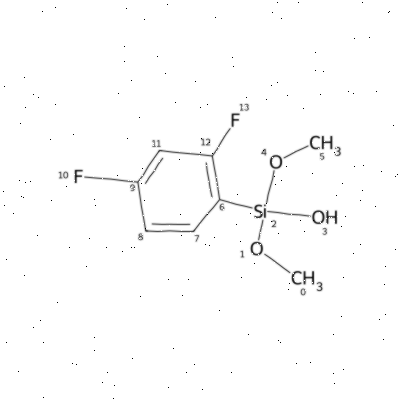 CO[Si](O)(OC)c1ccc(F)cc1F